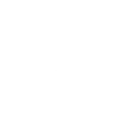 CCCc1cccc(C(C)=O)c1Br